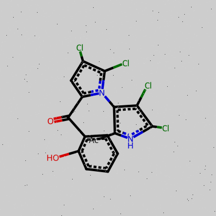 CC(=O)c1[nH]c(Cl)c(Cl)c1-n1c(C(=O)c2ccccc2O)cc(Cl)c1Cl